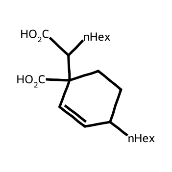 CCCCCCC1C=CC(C(=O)O)(C(CCCCCC)C(=O)O)CC1